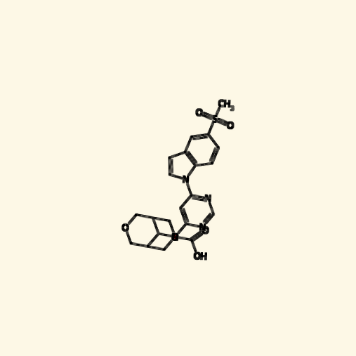 CS(=O)(=O)c1ccc2c(ccn2-c2cc(OC3C4COCC3CN(C(=O)O)C4)ncn2)c1